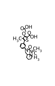 Cc1c(-c2cccc(N(CC3CCCCC3)C(=O)NC(C)C)c2)sc(C(=O)O)c1OCC(=O)O